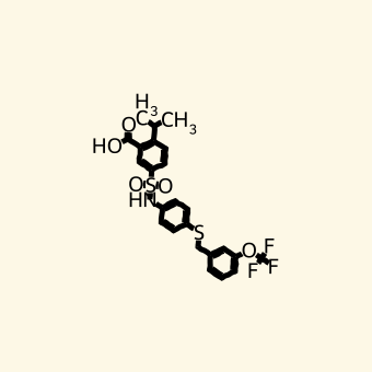 CC(C)c1ccc(S(=O)(=O)Nc2ccc(SCc3cccc(OC(F)(F)F)c3)cc2)cc1C(=O)O